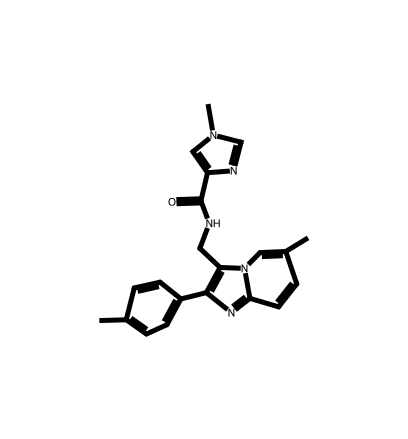 Cc1ccc(-c2nc3ccc(C)cn3c2CNC(=O)c2cn(C)cn2)cc1